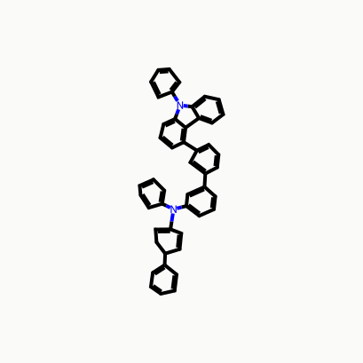 C1=CC(c2ccccc2)CC=C1N(c1ccccc1)c1cccc(-c2cccc(-c3cccc4c3c3ccccc3n4-c3ccccc3)c2)c1